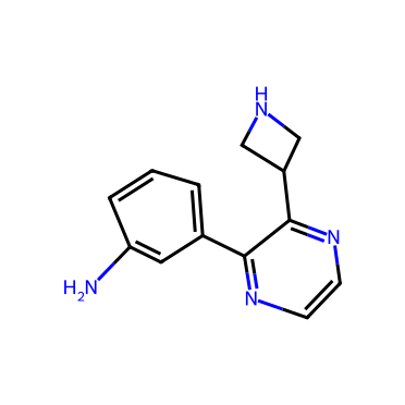 Nc1cccc(-c2nccnc2C2CNC2)c1